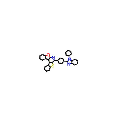 c1ccc(-n2c(-c3ccc(-c4nc5oc6ccccc6c5c5c4sc4ccccc45)cc3)nc3ccccc32)cc1